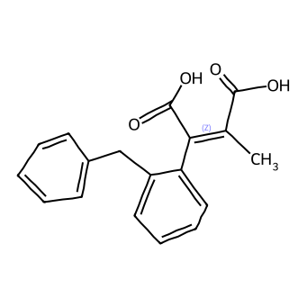 C/C(C(=O)O)=C(/C(=O)O)c1ccccc1Cc1ccccc1